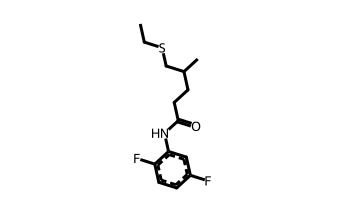 CCSCC(C)CCC(=O)Nc1cc(F)ccc1F